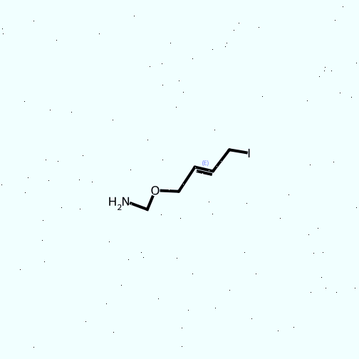 NCOC/C=C/CI